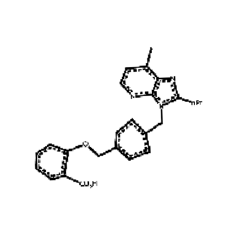 CCCc1nc2c(C)ccnc2n1Cc1ccc(COc2ccccc2C(=O)O)cc1